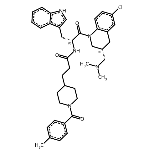 Cc1ccc(C(=O)N2CCC(CCC(=O)N[C@H](Cc3c[nH]c4ccccc34)C(=O)N3C[C@@H](CN(C)C)Cc4cc(Cl)ccc43)CC2)cc1